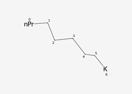 CCCCCCC[CH2][K]